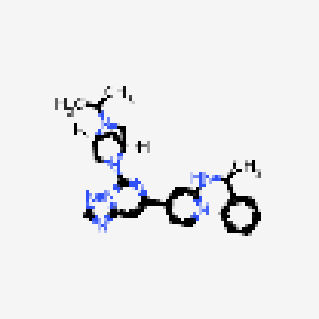 CC(Nc1cc(-c2cc3ncnn3c(N3C[C@@H]4C[C@H]3CN4C(C)C)n2)ccn1)c1ccccc1